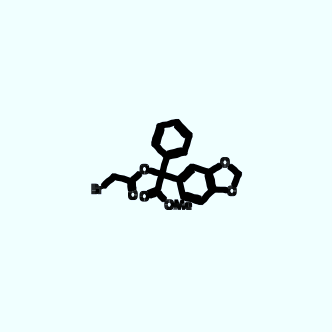 COC(=O)C(OC(=O)CBr)(c1ccccc1)c1ccc2c(c1)OCO2